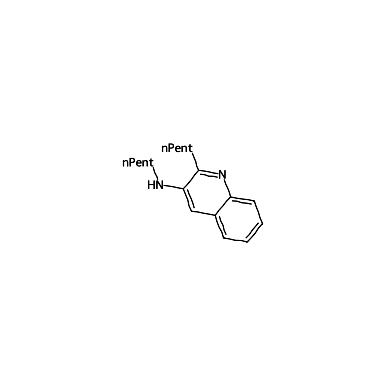 CCCCCNc1cc2ccccc2nc1CCCCC